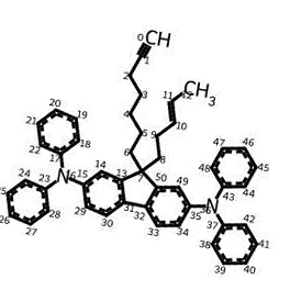 C#CCCCCCC1(CC/C=C/C)c2cc(N(c3ccccc3)c3ccccc3)ccc2-c2ccc(N(c3ccccc3)c3ccccc3)cc21